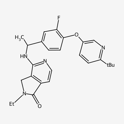 CCN1Cc2c(ccnc2NC(C)c2ccc(Oc3ccc(C(C)(C)C)nc3)c(F)c2)C1=O